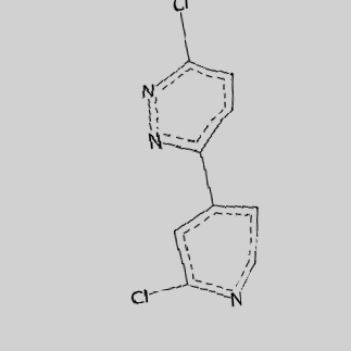 Clc1cc(-c2ccc(Cl)nn2)ccn1